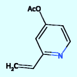 C=Cc1cc(OC(C)=O)ccn1